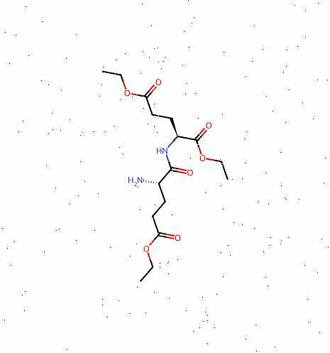 CCOC(=O)CC[C@H](NC(=O)[C@@H](N)CCC(=O)OCC)C(=O)OCC